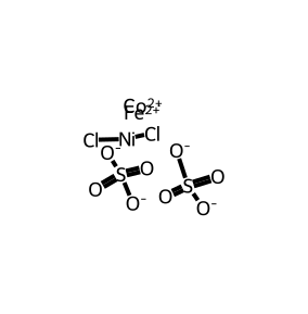 O=S(=O)([O-])[O-].O=S(=O)([O-])[O-].[Cl][Ni][Cl].[Co+2].[Fe+2]